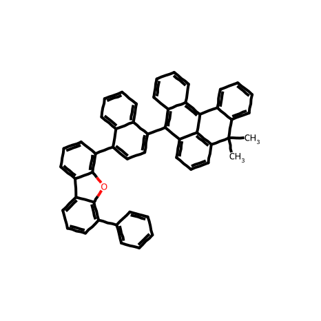 CC1(C)c2ccccc2-c2c3ccccc3c(-c3ccc(-c4cccc5c4oc4c(-c6ccccc6)cccc45)c4ccccc34)c3cccc1c23